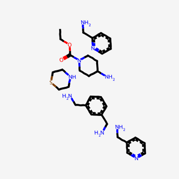 C1CSCCN1.CCOC(=O)N1CCC(N)CC1.NCc1cccc(CN)c1.NCc1ccccn1.NCc1cccnc1